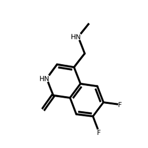 C=C1NC=C(CNC)c2cc(F)c(F)cc21